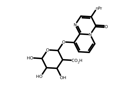 CCCc1cnc2c(OC3OC(O)C(O)C(O)C3C(=O)O)cccn2c1=O